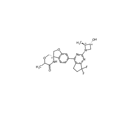 CC1OC[C@@]2(COc3cc(-c4nc(N5C[C@@H](O)[C@@H]5C)nc5c4CCC5(F)F)ccc32)NC1=O